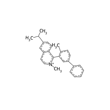 Cc1ccc(-c2ccccc2)cc1-c1c2ccc(C(C)C)cc2cc[n+]1C